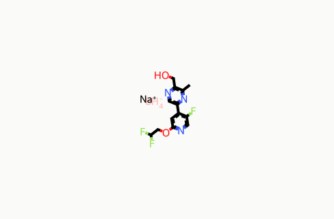 Cc1nc(-c2cc(OCC(F)F)ncc2F)cnc1CO.[BH4-].[Na+]